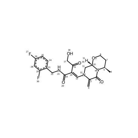 C=C1C(=O)N2[C@H](C)CCO[C@H]2CN1/C=C(\C(=O)CO)C(=O)NCc1ccc(F)cc1F